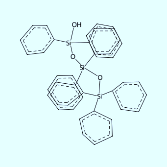 O[Si](O[Si](O[Si](c1ccccc1)(c1ccccc1)c1ccccc1)(c1ccccc1)c1ccccc1)(c1ccccc1)c1ccccc1